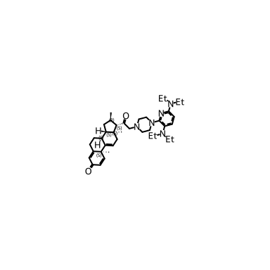 CCN(CC)c1ccc(N(CC)CC)c(N2CCN(CC(=O)[C@H]3[C@H](C)C[C@H]4[C@@H]5CCC6=CC(=O)C=C[C@]6(C)C5=CC[C@@]43C)CC2)n1